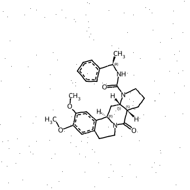 COc1cc2c(cc1OC)[C@H]1C[C@H]3[C@H](CCCN3C(=O)N[C@H](C)c3ccccc3)C(=O)N1CC2